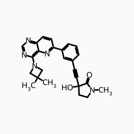 CN1CCC(O)(C#Cc2cccc(-c3ccc4ncnc(N5CC(C)(C)C5)c4n3)c2)C1=O